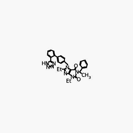 CCc1nc2c(c(=O)n(C(C)c3ccccc3)c(=O)n2CC)n1Cc1ccc(-c2ccccc2-c2nnn[nH]2)cc1